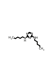 CCCCCNc1ncnc(NCCCCC)n1